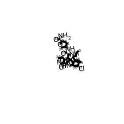 CCCC1(CCC)N[C@@H](C(=O)N[C@@H]2CC[C@@H](C(N)=O)OC2)[C@H](c2ccnc(Cl)c2F)[C@]12C(=O)Nc1cc(Cl)ccc12